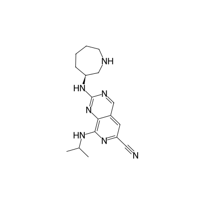 CC(C)Nc1nc(C#N)cc2cnc(N[C@H]3CCCCNC3)nc12